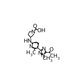 CC(=O)c1nc(-c2ccc(N[C@H]3CCN(C(=O)O)C3)nc2C)nn1C